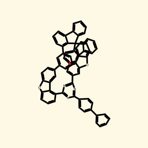 c1ccc(-c2ccc(-c3nc(-c4ccc5c(c4)oc4ccccc45)nc(-c4cccc5oc6ccc(-c7cccc(-c8cccc9c8C8(c%10ccccc%10-c%10ccccc%108)c8ccccc8-9)c7)cc6c45)n3)cc2)cc1